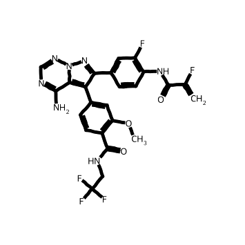 C=C(F)C(=O)Nc1ccc(-c2nn3ncnc(N)c3c2-c2ccc(C(=O)NCC(F)(F)F)c(OC)c2)cc1F